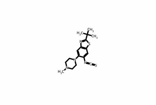 CN1CCN(c2cc3nc(C(C)(C)C)sc3cc2N=C=S)CC1